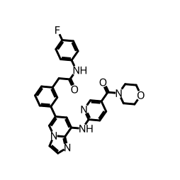 O=C(Cc1cccc(-c2cc(Nc3ccc(C(=O)N4CCOCC4)cn3)c3nccn3c2)c1)Nc1ccc(F)cc1